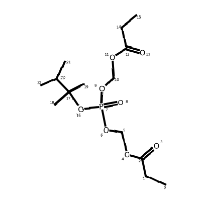 CCC(=O)OCOP(=O)(OCOC(=O)CC)OC(C)(C)C(C)C